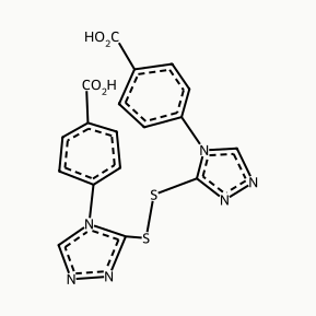 O=C(O)c1ccc(-n2cnnc2SSc2nncn2-c2ccc(C(=O)O)cc2)cc1